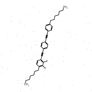 CCCCCCCc1ccc(C#Cc2ccc(C#Cc3ccc(CCCCCCC)c(F)c3F)cc2)cc1